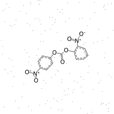 O=C(Oc1ccc([N+](=O)[O-])cc1)Oc1ccccc1[N+](=O)[O-]